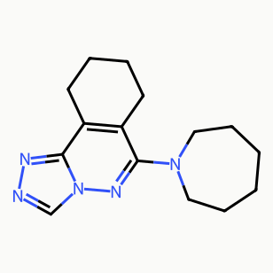 c1nnc2c3c(c(N4CCCCCC4)nn12)CCCC3